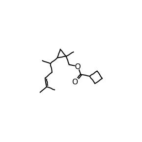 CC(C)=CCC(C)C1CC1(C)COC(=O)C1CCC1